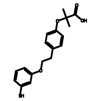 CC(C)(Oc1ccc(CCOc2cccc(S)c2)cc1)C(=O)O